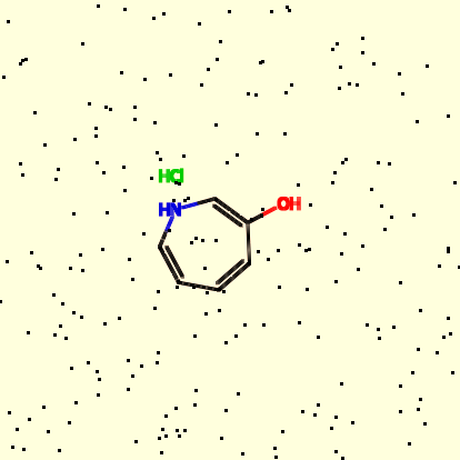 Cl.OC1=CNC=CC=C1